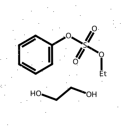 CCOS(=O)(=O)Oc1ccccc1.OCCO